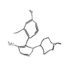 CCOC(=O)c1cnn(C2CCN(C)CC2)c1-c1ccc(Br)cc1F